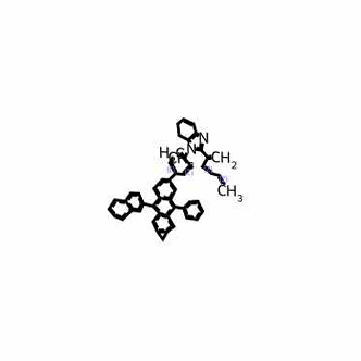 C=C(/C=C\C=C/C)c1nc2c(n1C(=C)/C=C\C(=C/C)c1ccc3c(-c4ccc5ccccc5c4)c4cc5c(cc4c(-c4ccccc4)c3c1)C5)CCC=C2